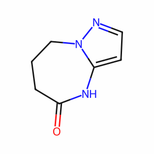 O=C1CCCn2nccc2N1